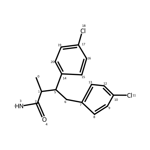 CC(C([NH])=O)C(Cc1ccc(Cl)cc1)c1ccc(Cl)cc1